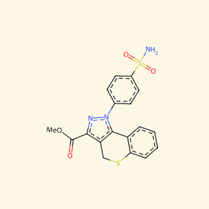 COC(=O)c1nn(-c2ccc(S(N)(=O)=O)cc2)c2c1CSc1ccccc1-2